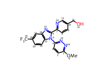 COc1ccc(-n2c(-c3ccc(CO)cn3)nc3cc(C(F)(F)F)ccc32)nn1